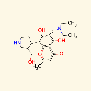 CCN(CC)Cc1c(O)c(C2CCNCC2CO)c2oc(C)cc(=O)c2c1O